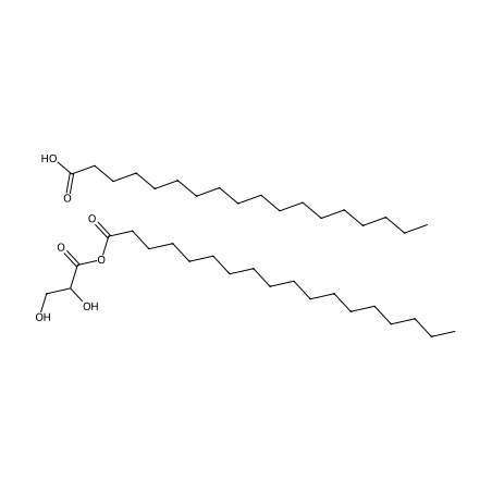 CCCCCCCCCCCCCCCCCC(=O)O.CCCCCCCCCCCCCCCCCC(=O)OC(=O)C(O)CO